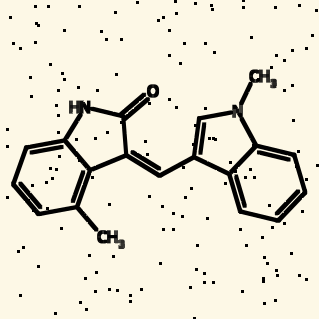 Cc1cccc2c1/C(=C/c1cn(C)c3ccccc13)C(=O)N2